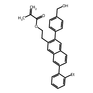 C=C(C)C(=O)OCCc1cc2cc(-c3ccccc3CC)ccc2cc1-c1ccc(CO)cc1